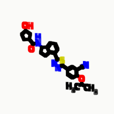 CC(C)Oc1ccc(-c2nnc(-c3cccc4c3CC[C@@H]4NC(=O)C3CC[C@H](O)C3)s2)cc1C#N